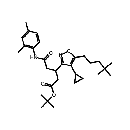 Cc1ccc(NC(=O)CC(CC(=O)OC(C)(C)C)c2noc(CCCC(C)(C)C)c2C2CC2)c(C)c1